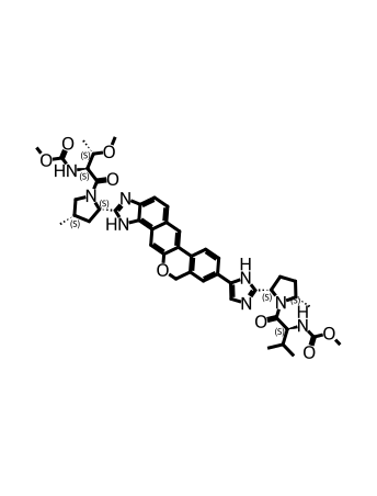 COC(=O)N[C@H](C(=O)N1[C@@H](C)CC[C@H]1c1ncc(-c2ccc3c(c2)COc2cc4c(ccc5nc([C@@H]6C[C@H](C)CN6C(=O)[C@@H](NC(=O)OC)[C@H](C)OC)[nH]c54)cc2-3)[nH]1)C(C)C